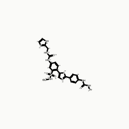 CC(C)NC(=S)Nc1ccc(-c2ncc(-c3ccc(NC(=O)NCc4ncc[nH]4)cc3S(=O)(=O)NC(C)(C)C)s2)cc1